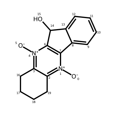 [O-][n+]1c2c([n+]([O-])c3c1-c1ccccc1C3O)CCCC2